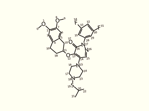 COc1cc2c(cc1OC)CC(Oc1c(N3CCN(SC(C)C)CC3)cnn(-c3cc(F)cc(F)c3)c1=O)CC2